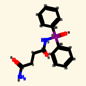 NC(=O)CCC(=O)NP(=O)(c1ccccc1)c1ccccc1